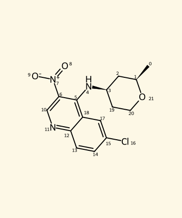 C[C@@H]1C[C@H](Nc2c([N+](=O)[O-])cnc3ccc(Cl)cc23)CCO1